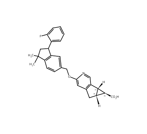 CC1(C)CC(c2ccccc2F)c2cc(COc3cc4c(cn3)[C@H]3[C@@H](C4)[C@@H]3C(=O)O)ccc21